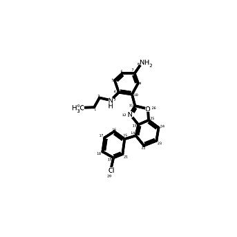 CCCNc1ccc(N)cc1-c1nc2c(-c3cccc(Cl)c3)cccc2o1